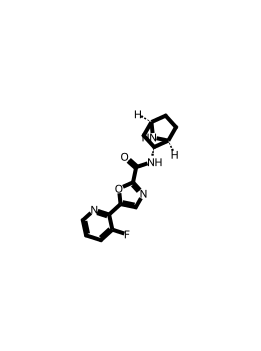 O=C(N[C@@H]1C[C@H]2CC[C@@H]1N2)c1ncc(-c2ncccc2F)o1